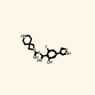 N=C(SC(=N)N1CC2(CCNCC2)C1)c1c(O)cc(-c2cn[nH]c2)cc1F